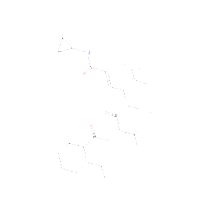 C/C(=C\[C@H](C(C)C)N(C)C(=O)[C@@H](NC(=O)C1CCCCN1C(C)C)C(C)C)C(=O)NC1CC1